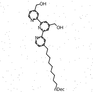 CCCCCCCCCCCCCCCCCCCc1ccnc(-c2cc(CO)cc(-c3cc(CO)ccn3)n2)c1